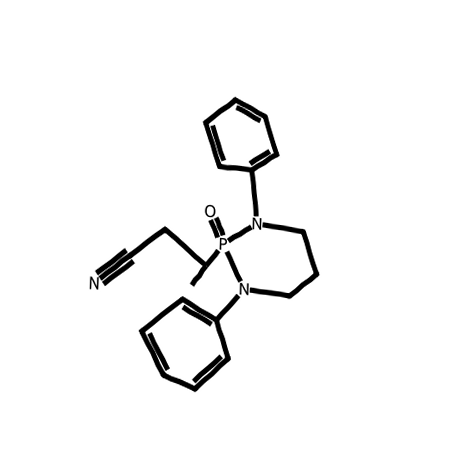 CC(CC#N)P1(=O)N(c2ccccc2)CCCN1c1ccccc1